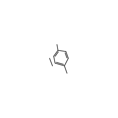 CC.Cc1ccc(C)cc1